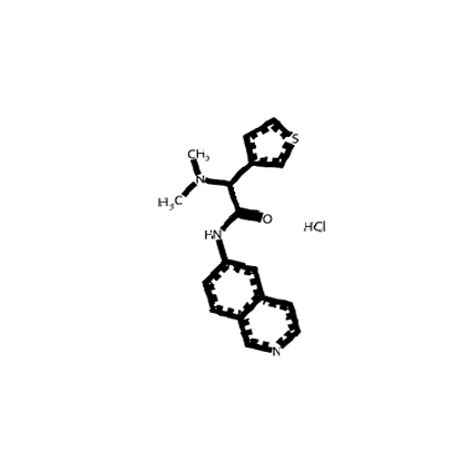 CN(C)C(C(=O)Nc1ccc2cnccc2c1)c1ccsc1.Cl